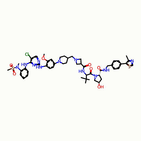 COc1cc(N2CCC(CN3CC(C(=O)NC(C(=O)N4C[C@H](O)C[C@H]4C(=O)NCc4ccc(-c5scnc5C)cc4)C(C)(C)C)C3)CC2)ccc1Nc1ncc(Cl)c(Nc2ccccc2N(C)S(C)(=O)=O)n1